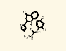 NNC(=O)Nc1ccc(Cl)cc1Cl.O=C1CC(c2ccco2)Nc2ccccc21